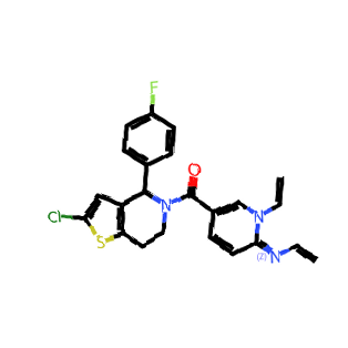 C=C/N=c1/ccc(C(=O)N2CCc3sc(Cl)cc3C2c2ccc(F)cc2)cn1C=C